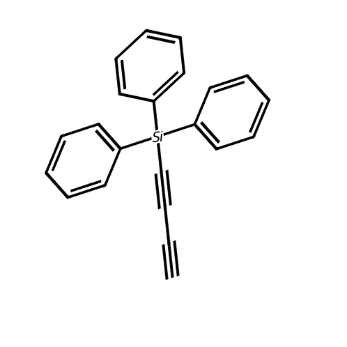 C#CC#C[Si](c1ccccc1)(c1ccccc1)c1ccccc1